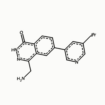 CC(C)c1cncc(-c2ccc3c(=O)[nH]nc(CN)c3c2)c1